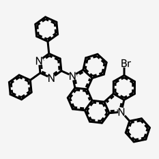 Brc1ccc2c(c1)c1c3c(ccc1n2-c1ccccc1)ccc1c3c2ccccc2n1-c1cc(-c2ccccc2)nc(-c2ccccc2)n1